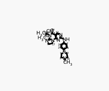 CN1CCN(c2ccc(Nc3ncc4c(n3)N3CCN=C3N(C(C)(C)C)C4=O)cc2)CC1